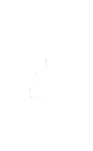 NC(=O)N(O)Cc1cccs1